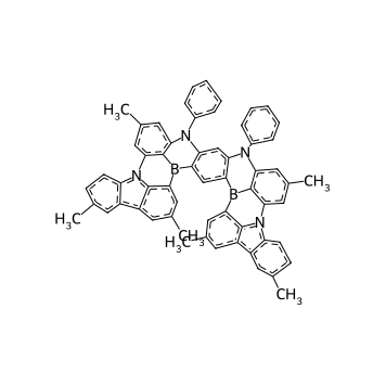 Cc1cc2c3c(c1)-n1c4ccc(C)cc4c4cc(C)cc(c41)B3c1cc3c(cc1N2c1ccccc1)N(c1ccccc1)c1cc(C)cc2c1B3c1cc(C)cc3c4cc(C)ccc4n-2c13